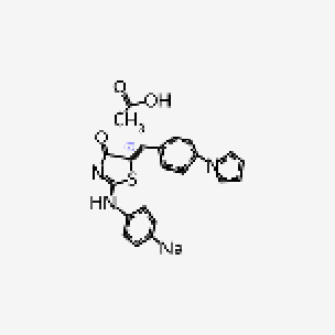 CC(=O)O.O=C1N=C(Nc2cc[c]([Na])cc2)S/C1=C\c1ccc(-n2cccc2)cc1